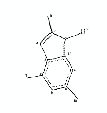 [Li][CH]1C(C)=Cc2c(C)cc(C)cc21